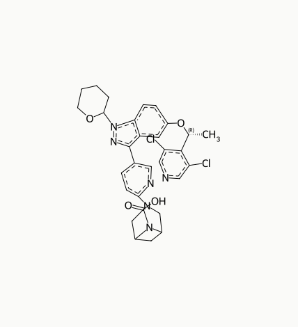 C[C@@H](Oc1ccc2c(c1)c(-c1ccc(N3CC4CC(C3)N4C(=O)O)nc1)nn2C1CCCCO1)c1c(Cl)cncc1Cl